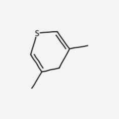 CC1=CSC=C(C)C1